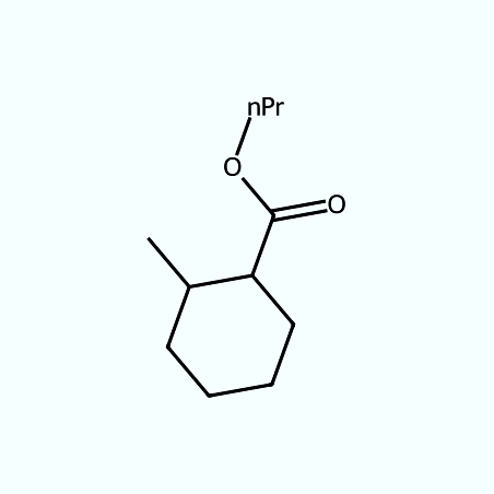 CCCOC(=O)C1CCCCC1C